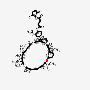 CO[C@H]1C[C@@H]2CC[C@@H](C)[C@@](O)(O2)C(=O)C(=O)N2CCCC3[C@H]2C(=O)O[C@@H](CC(=O)[C@H](C)/C=C(\C)[C@@H](O)[C@@H](OC)C(=O)[C@H](C)C[C@H](C)/C=C/C=C/C=C/1C)[C@H]3C[C@@H]1CC[C@@H](OC(=O)CCC(=O)ON2C(=O)CCC2=O)[C@H](OC)C1